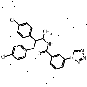 CC(NC(=O)c1cccc(-n2cnnn2)c1)C(Cc1ccc(Cl)cc1)c1ccc(Cl)cc1